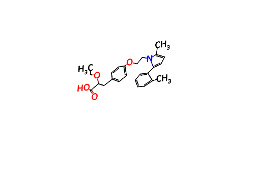 CCOC(Cc1ccc(OCCn2c(C)ccc2-c2ccccc2C)cc1)C(=O)O